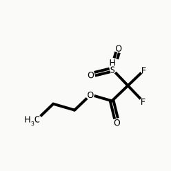 CCCOC(=O)C(F)(F)[SH](=O)=O